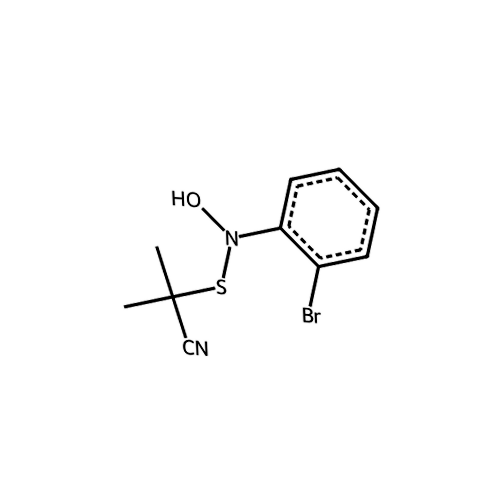 CC(C)(C#N)SN(O)c1ccccc1Br